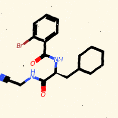 N#CCNC(=O)[C@H](CC1CCCCC1)NC(=O)c1ccccc1Br